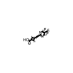 O=C(O)C1CC(C#Cc2ncc(C(F)(F)F)cn2)C1